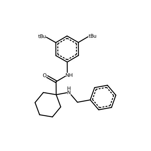 CC(C)(C)c1cc(NC(=O)C2(NCc3ccccc3)CCCCC2)cc(C(C)(C)C)c1